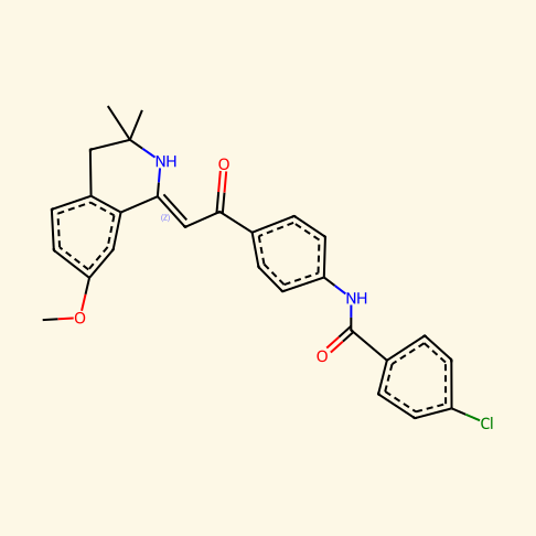 COc1ccc2c(c1)/C(=C/C(=O)c1ccc(NC(=O)c3ccc(Cl)cc3)cc1)NC(C)(C)C2